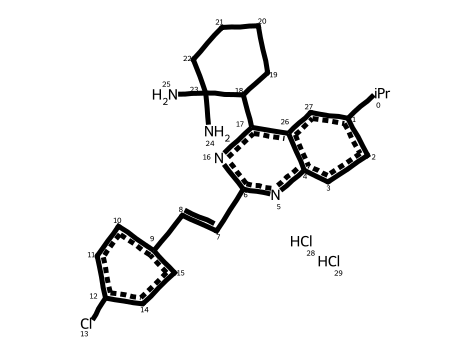 CC(C)c1ccc2nc(C=Cc3ccc(Cl)cc3)nc(C3CCCCC3(N)N)c2c1.Cl.Cl